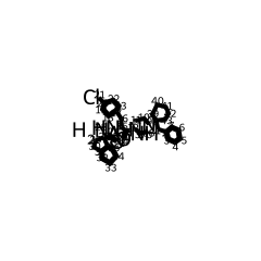 CC(=O)NC(c1ccccc1)C1(N2CCN(C(=O)C(Cc3ccc(Cl)cc3)NC(=O)C3(N)CCc4ccccc43)CC2)CCCCC1